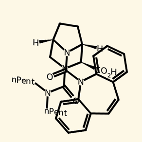 CCCCCN(CCCCC)C(=O)N1C[C@@H]2CC[C@H]([C@H]1C(=O)O)N2C(=O)N1c2ccccc2C=Cc2ccccc21